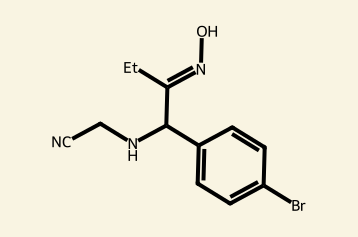 CCC(=NO)C(NCC#N)c1ccc(Br)cc1